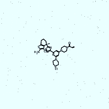 C=CC(=O)N1CCN(c2cc(-c3noc([C@@]4(C)CCCc5sc(N)c(C#N)c54)n3)nc(N3CCN(CC)CC3)c2)CC1